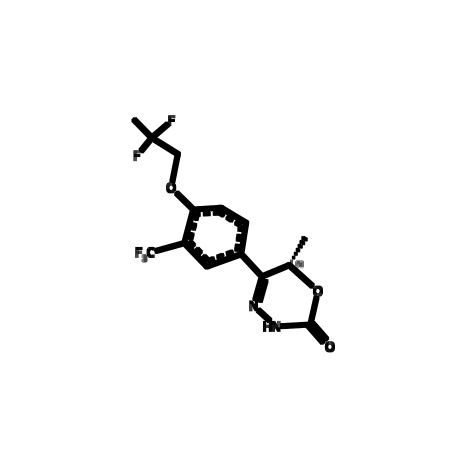 C[C@@H]1OC(=O)NN=C1c1ccc(OCC(C)(F)F)c(C(F)(F)F)c1